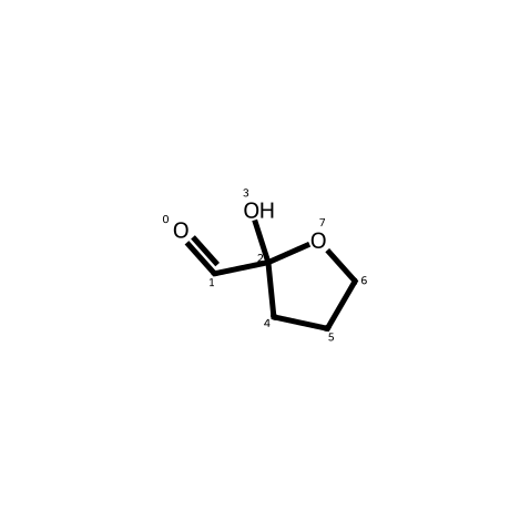 O=CC1(O)CCCO1